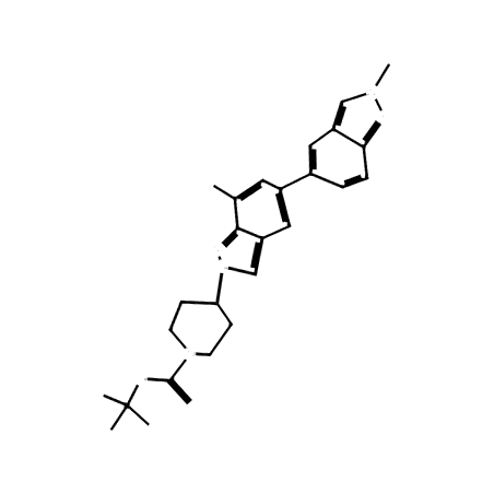 Cn1cc2cc(-c3cc(F)c4nn(C5CCN(C(=O)OC(C)(C)C)CC5)cc4c3)ccc2n1